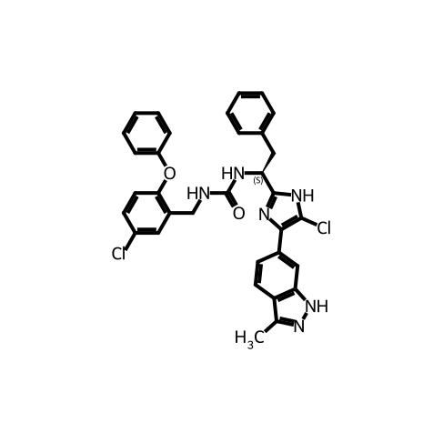 Cc1n[nH]c2cc(-c3nc([C@H](Cc4ccccc4)NC(=O)NCc4cc(Cl)ccc4Oc4ccccc4)[nH]c3Cl)ccc12